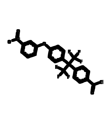 O=C(Cl)c1ccc(C(c2ccc(Oc3cccc([N+](=O)[O-])c3)cc2)(C(F)(F)F)C(F)(F)F)cc1